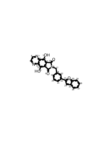 O=C1c2c(c(O)c3nccnc3c2O)C(=O)N1Cc1cccc(-c2cc3ccccc3o2)c1